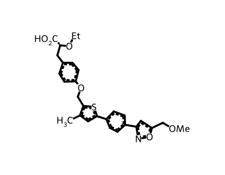 CCO[C@@H](Cc1ccc(OCc2sc(-c3ccc(-c4cc(COC)on4)cc3)cc2C)cc1)C(=O)O